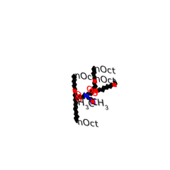 CCCCCCCC/C=C\CCCCCCCCC(CCCCCCCC/C=C\CCCCCCCC)OC(=O)CCN(CCC(=O)OC(CCCCCCCC/C=C\CCCCCCCC)CCCCCCCC/C=C\CCCCCCCC)CCN(C)C